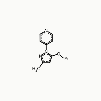 Cc1cc(OC(C)C)n(-c2ccncc2)n1